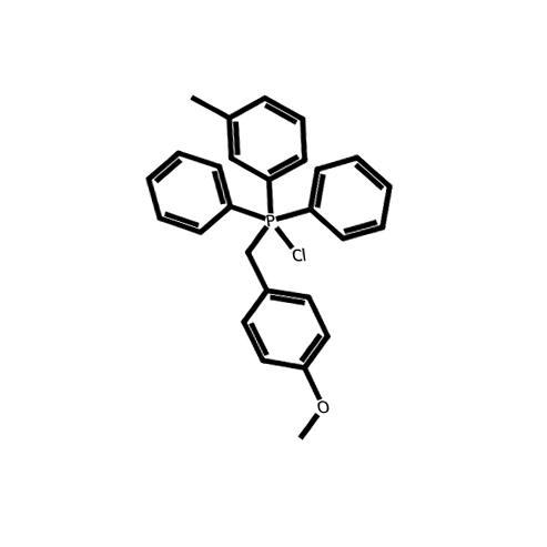 COc1ccc(CP(Cl)(c2ccccc2)(c2ccccc2)c2cccc(C)c2)cc1